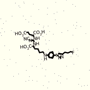 N#CN=C(N[C@@H](CCCCNc1ccc(-n2cc(CCCF)nn2)cc1)C(=O)O)N[C@@H](CCC(=O)O)C(=O)O